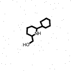 OCC1CCCC(C2CCCCC2)N1